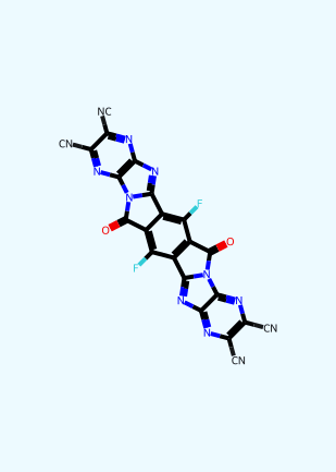 [C-]#[N+]c1nc2nc3c4c(F)c5c(=O)n6c7nc(C#N)c(C#N)nc7nc6c5c(F)c4c(=O)n3c2nc1[N+]#[C-]